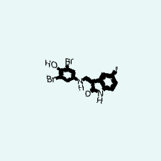 O=C1Nc2ccc(I)cc2/C1=C/Nc1cc(Br)c(O)c(Br)c1